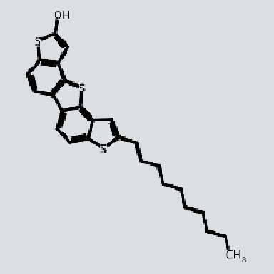 CCCCCCCCCCc1cc2c(ccc3c4ccc5sc(O)cc5c4sc23)s1